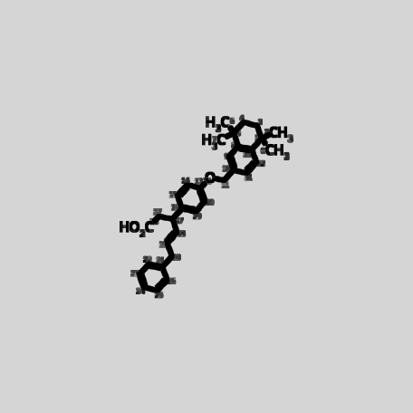 CC1(C)CCC(C)(C)c2cc(COc3ccc(C(/C=C/Cc4ccccc4)CC(=O)O)cc3)ccc21